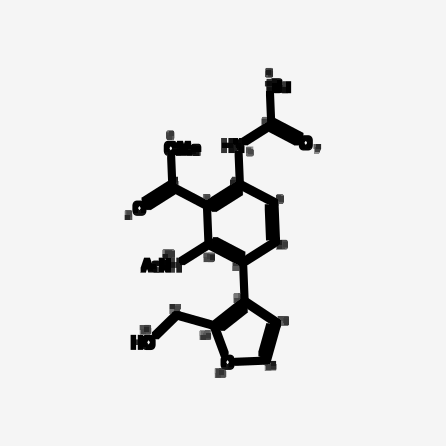 COC(=O)c1c(NC(=O)C(C)(C)C)ccc(-c2ccoc2CO)c1NC(C)=O